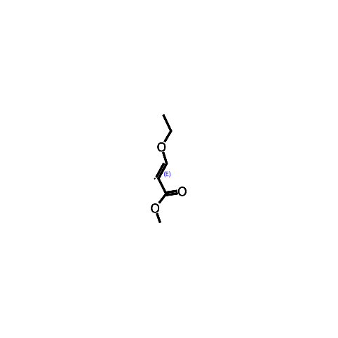 CCO/C=[C]/C(=O)OC